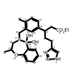 CCOC(=O)CC(CCc1c[nH]nn1)c1ccc(C)c(CN2CC(C)Oc3ccccc3S2(O)O)c1